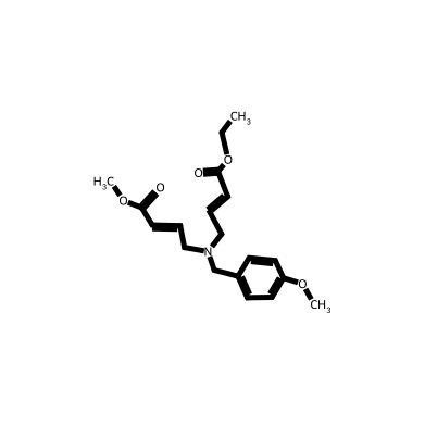 CCOC(=O)C=CCN(CC=CC(=O)OC)Cc1ccc(OC)cc1